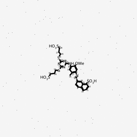 COc1cc(N=Nc2ccc3cccc(S(=O)(=O)O)c3c2)c(C)cc1Nc1nc(SCCCS(=O)(=O)O)nc(SCCCS(=O)(=O)O)n1